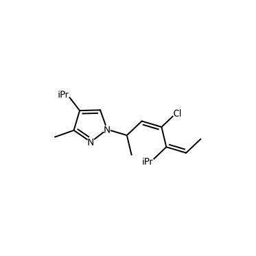 C/C=C(\C(Cl)=C/C(C)n1cc(C(C)C)c(C)n1)C(C)C